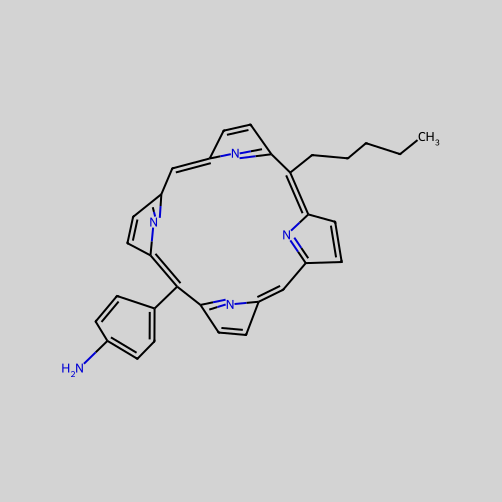 CCCCCC1=C2C=CC(=N2)C=C2C=CC(=N2)C(c2ccc(N)cc2)=C2C=CC(=N2)C=C2C=CC1=N2